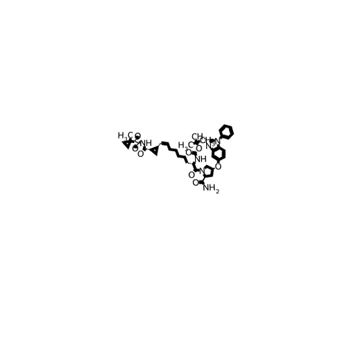 CC(C)(C)OC(=O)N[C@@H](CCCCC/C=C\[C@@H]1C[C@@H]1C(=O)NS(=O)(=O)C1(C)CC1)C(=O)N1C[C@H](Oc2ccc3c(c2)ncn3-c2ccccc2)C[C@H]1C(N)=O